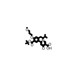 COCCCOc1cc2c(cc1C(=O)OC(C)(C)C)-c1cc(=O)c(C(=O)O)cn1C(C(C)C)C2